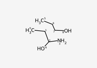 CCC(N)O.CCCO